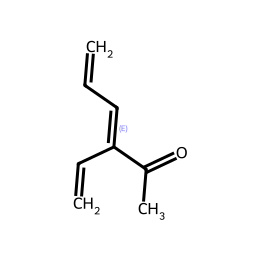 C=C/C=C(\C=C)C(C)=O